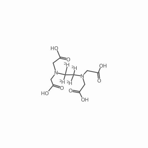 [2H]C([2H])(N(CC(=O)O)CC(=O)O)C([2H])([2H])N(CC(=O)O)CC(=O)O